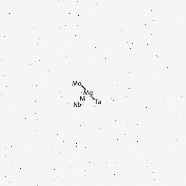 [Mo][Mg][Ta].[Nb].[Ni]